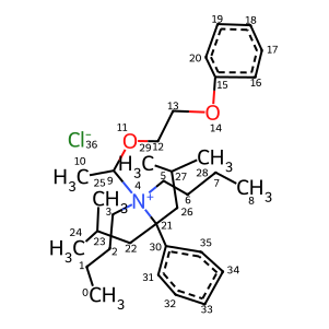 CCCC[N+](CCCC)(C(C)OCCOc1ccccc1)C(CC(C)C)(CC(C)C)c1ccccc1.[Cl-]